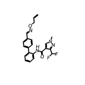 C=CCON=Cc1ccc(-c2ccccc2NC(=O)c2cn(C)nc2C(F)F)cc1